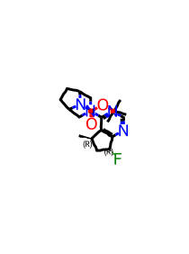 C[C@@H]1C[C@@H](F)c2ncnc(N3CC4CCC(C3)N4C(=O)OC(C)(C)C)c21